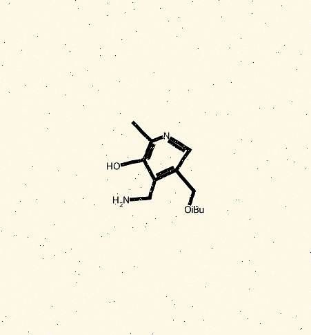 Cc1ncc(COCC(C)C)c(CN)c1O